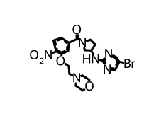 O=C(c1ccc([N+](=O)[O-])c(OCCN2CCOCC2)c1)N1CCC(Nc2ncc(Br)cn2)C1